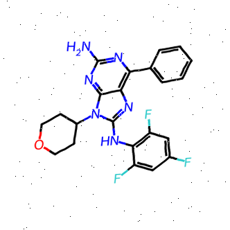 Nc1nc(-c2ccccc2)c2nc(Nc3c(F)cc(F)cc3F)n(C3CCOCC3)c2n1